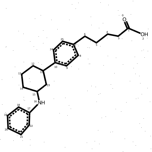 O=C(O)CCCCc1ccc(C2CCCC(Nc3ccccc3)C2)cc1